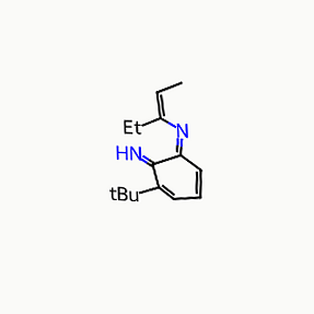 C/C=C(CC)\N=C1\C=CC=C(C(C)(C)C)C1=N